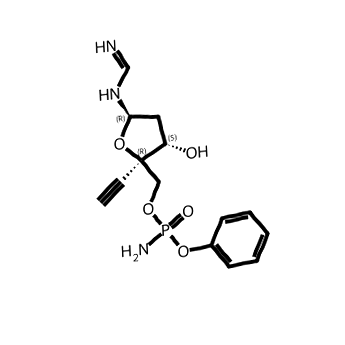 C#C[C@]1(COP(N)(=O)Oc2ccccc2)O[C@@H](NC=N)C[C@@H]1O